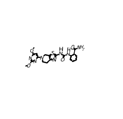 COc1cc(N2CCc3nc(NC(=O)Nc4ccccc4C(N)=O)sc3C2)nc(OC)n1